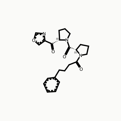 O=C(c1cocn1)[C@@H]1CCCN1C(=O)[C@@H]1CCCN1C(=O)CCCc1ccccc1